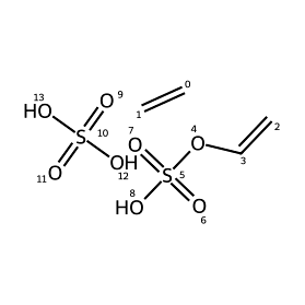 C=C.C=COS(=O)(=O)O.O=S(=O)(O)O